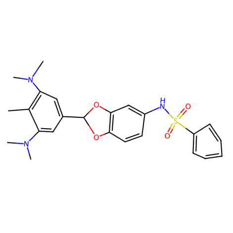 Cc1c(N(C)C)cc(C2Oc3ccc(NS(=O)(=O)c4ccccc4)cc3O2)cc1N(C)C